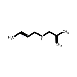 C=C(C)CNC/C=C/C